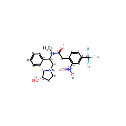 CN(C(=O)Cc1ccc(C(F)(F)F)cc1[N+](=O)[O-])C(CN1CC[C@H](O)C1)c1ccccc1